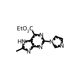 CCOC(=O)c1nc(-n2ccnc2)nc2nc(C)[nH]c12